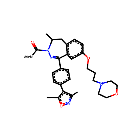 CNC(=O)N1N=C(c2ccc(-c3c(C)noc3C)cc2)c2cc(OCCCN3CCOCC3)ccc2CC1C